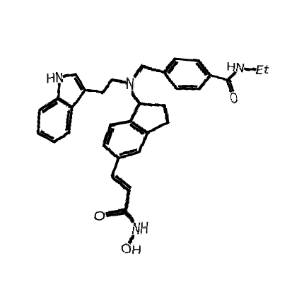 CCNC(=O)c1ccc(CN(CCc2c[nH]c3ccccc23)C2CCc3cc(C=CC(=O)NO)ccc32)cc1